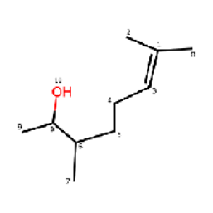 CC(C)=CCCC(C)C(C)O